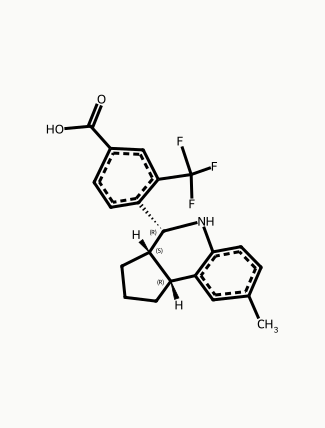 Cc1ccc2c(c1)[C@@H]1CCC[C@@H]1[C@H](c1ccc(C(=O)O)cc1C(F)(F)F)N2